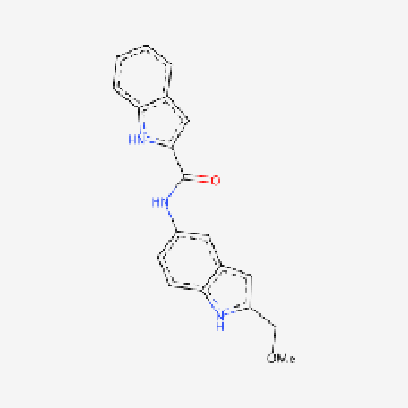 COCc1cc2cc(NC(=O)c3cc4ccccc4[nH]3)ccc2[nH]1